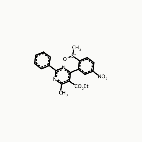 CCOC(=O)c1c(C)nc(-c2ccccc2)nc1-c1cc([N+](=O)[O-])ccc1[S+](C)[O-]